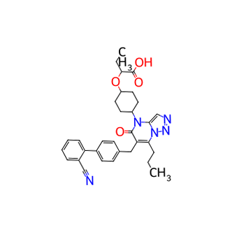 CCCc1c(Cc2ccc(-c3ccccc3C#N)cc2)c(=O)n(C2CCC(OC(CC)C(=O)O)CC2)c2cnnn12